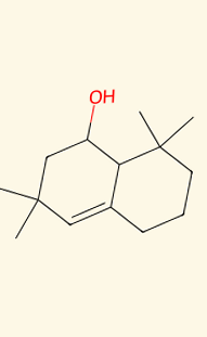 CC1(C)C=C2CCCC(C)(C)C2C(O)C1